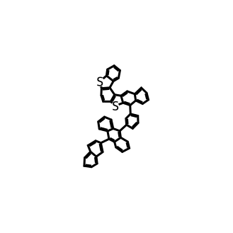 c1cc(-c2c3ccccc3c(-c3ccc4ccccc4c3)c3ccccc23)cc(-c2c3ccccc3cc3c2sc2ccc4sc5ccccc5c4c23)c1